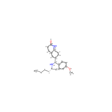 CCCC[C@H]1Cc2cc(OC)ccc2C(c2ccc3[nH]c(=O)ccc3c2)N1